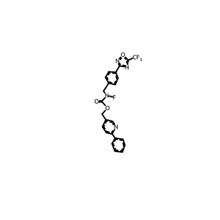 O=C(OCc1ccc(-c2ccccc2)nc1)N(F)Cc1ccc(-c2noc(C(F)(F)F)n2)cc1